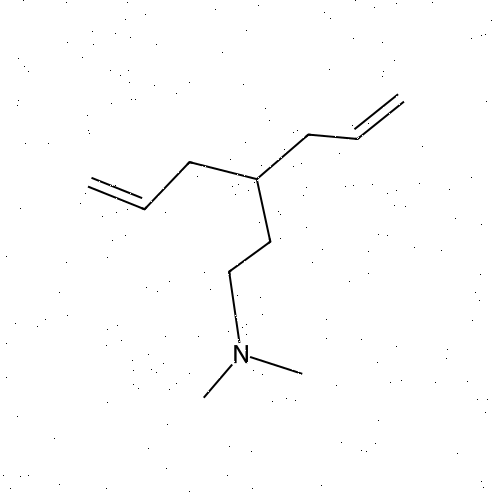 C=CCC(CC=C)CCN(C)C